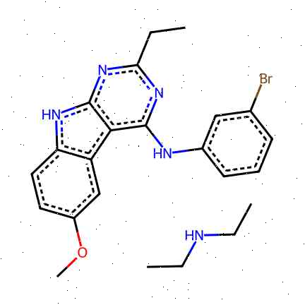 CCNCC.CCc1nc(Nc2cccc(Br)c2)c2c(n1)[nH]c1ccc(OC)cc12